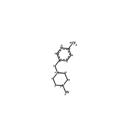 CC(C)N1CCN(Cc2ccc(C(F)(F)F)nc2)CC1